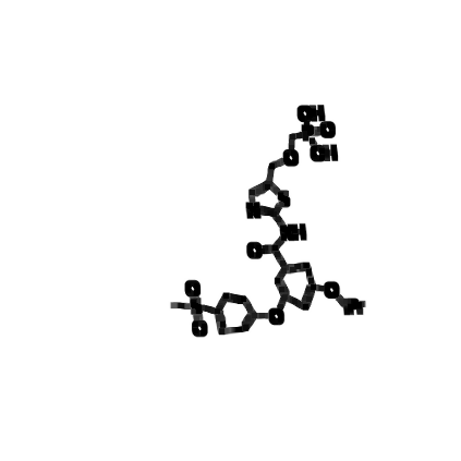 CC(C)Oc1cc(Oc2ccc(S(C)(=O)=O)cc2)cc(C(=O)Nc2ncc(COCP(=O)(O)O)s2)c1